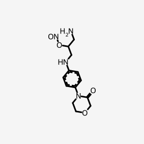 NCC(CNc1ccc(N2CCOCC2=O)cc1)ON=O